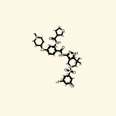 CN1CCC(Oc2ccc(C(=O)Nc3n[nH]c4c3CN(S(=O)(=O)c3cc(F)cc(F)c3)CC4(C)C)c(NC(=O)C3CCOC3)c2)CC1